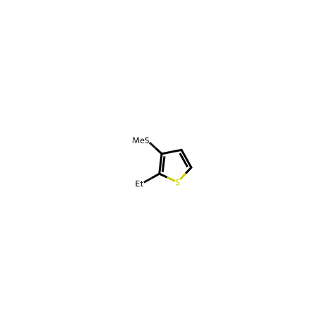 CCc1sccc1SC